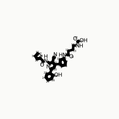 N#Cc1c(-c2cccc(NC(=O)CCCNC(=O)O)c2)cc(-c2ccccc2O)nc1NC(=O)c1cccs1